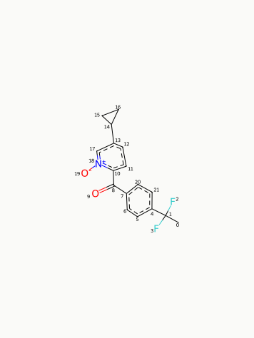 CC(F)(F)c1ccc(C(=O)c2ccc(C3CC3)c[n+]2[O-])cc1